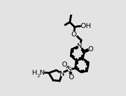 CC(C)C(O)OCn1ccc2c(S(=O)(=O)N3CCC(N)C3)cccc2c1=O